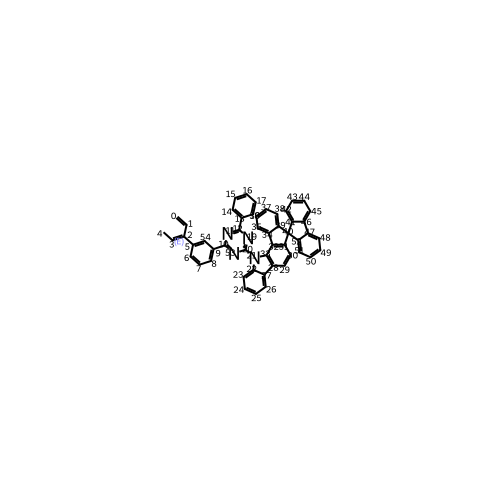 C=C/C(=C\C)c1cccc(-c2nc(-c3ccccc3)nc(-n3c4ccccc4c4ccc5c(c43)-c3ccccc3C53c4ccccc4-c4ccccc43)n2)c1